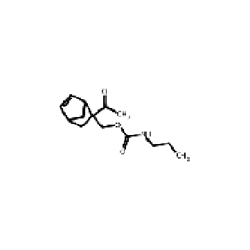 CCCNC(=O)OCC1(C(C)=O)CC2C=CC1C2